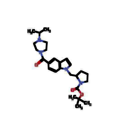 CC(C)N1CCN(C(=O)c2ccc3c(ccn3CC3CCCN3C(=O)OC(C)(C)C)c2)CC1